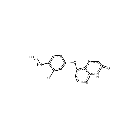 O=C(O)Nc1ccc(Oc2ccnc3[nH]c(=O)cnc23)cc1Cl